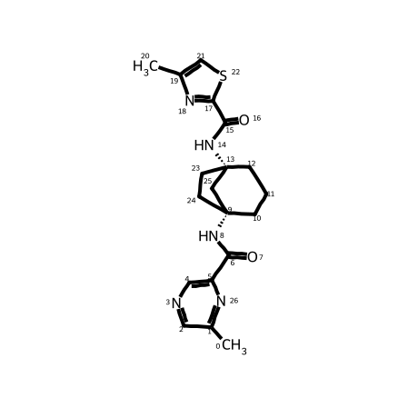 Cc1cncc(C(=O)N[C@]23CCC[C@](NC(=O)c4nc(C)cs4)(CC2)C3)n1